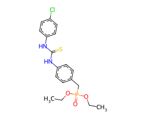 CCOP(=O)(Cc1ccc(NC(=S)Nc2ccc(Cl)cc2)cc1)OCC